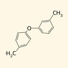 [CH2]c1ccc(Oc2cccc(C)c2)cc1